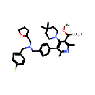 CCOC(=O)C(OC(C)(C)C)c1c(C)nc(C)c(-c2ccc(CN(Cc3ccc(F)cc3)CC3CCCO3)cc2)c1N1CCC(C)(C)CC1